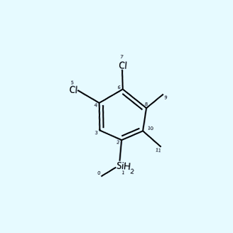 C[SiH2]c1cc(Cl)c(Cl)c(C)c1C